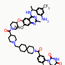 COc1cc2nc(C)nc(NC(C)c3cc(N)cc(C(F)(F)F)c3)c2cc1OC1CCN(C(=O)C2CCN(CC3CCC4(CC3)CCN(C(=O)c3ccc(Cl)c(N5CCC(=O)NC5=O)c3)CC4)CC2)CC1